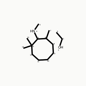 CCO.CNC1C(C)CCCCCC1(C)C